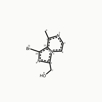 Cc1nccn2c(CO)nc(Br)c12